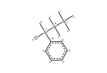 C[Si](C)(C)[Si](C)(C)[Si](C)([O])c1ccccc1